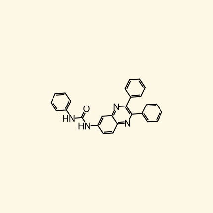 O=C(Nc1ccccc1)Nc1ccc2nc(-c3ccccc3)c(-c3ccccc3)nc2c1